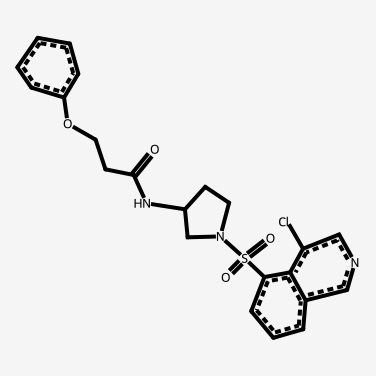 O=C(CCOc1ccccc1)NC1CCN(S(=O)(=O)c2cccc3cncc(Cl)c23)C1